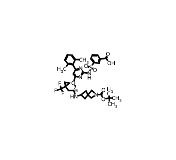 Cc1cccc(C)c1-c1cc(OC[C@@H](CC2(C(F)(F)F)CC2)NC2CC3(C2)CN(C(=O)OC(C)(C)C)C3)nc(NS(=O)(=O)c2cccc(C(=O)O)c2)n1